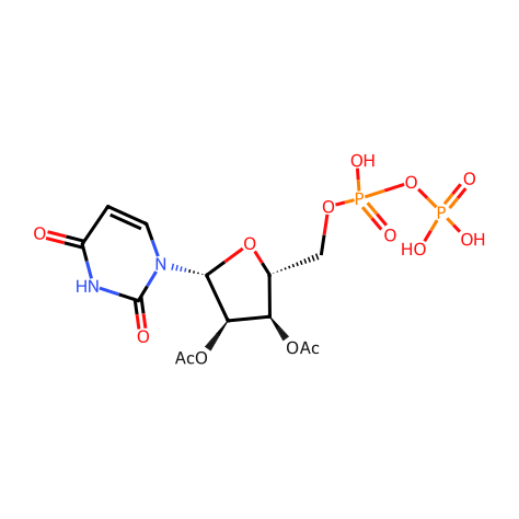 CC(=O)O[C@@H]1[C@H](OC(C)=O)[C@@H](COP(=O)(O)OP(=O)(O)O)O[C@H]1n1ccc(=O)[nH]c1=O